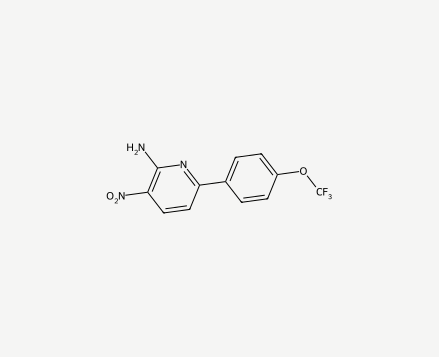 Nc1nc(-c2ccc(OC(F)(F)F)cc2)ccc1[N+](=O)[O-]